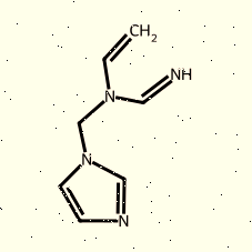 C=CN(C=N)Cn1ccnc1